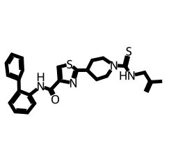 C=C(C)CNC(=S)N1CCC(c2nc(C(=O)Nc3ccccc3-c3ccccc3)cs2)CC1